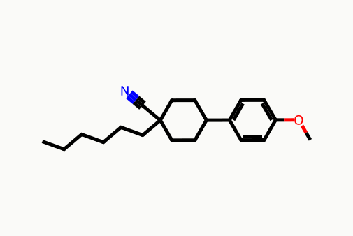 CCCCCCC1(C#N)CCC(c2ccc(OC)cc2)CC1